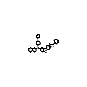 c1ccc(-c2ccc(N(c3ccc4ccccc4c3)c3ccc4oc5cc6oc(-c7ccccc7)nc6cc5c4c3)cc2)cc1